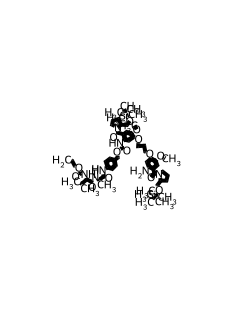 C=CCOC(=O)NC(C(=O)NC(C)C(=O)Nc1ccc(COC(=O)Nc2cc(OCCCOc3cc(N)c(C(=O)N4CCCC4CO[Si](C)(C)C(C)(C)C)cc3OC)c(OC)cc2C(=O)N2CCCC2CO[Si](C)(C)C(C)(C)C)cc1)C(C)C